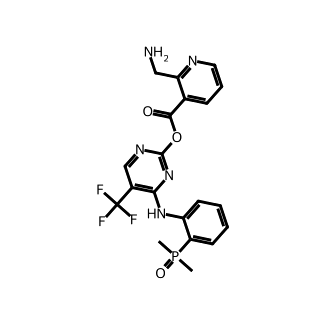 CP(C)(=O)c1ccccc1Nc1nc(OC(=O)c2cccnc2CN)ncc1C(F)(F)F